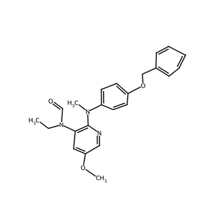 CCN(C=O)c1cc(OC)cnc1N(C)c1ccc(OCc2ccccc2)cc1